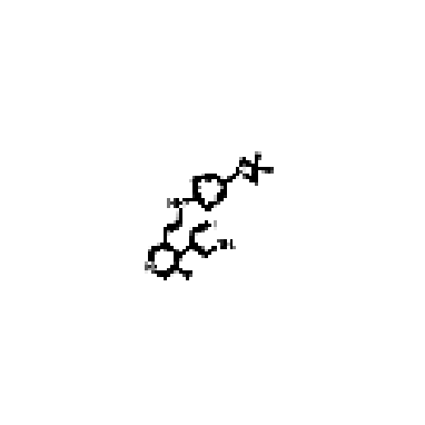 N=C/C(=C\N)c1c(F)cncc1/C=C/Nc1ccc(N2CC(F)(F)C2)cc1